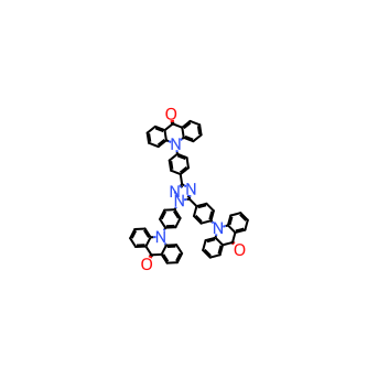 O=c1c2ccccc2n(-c2ccc(-c3nc(-c4ccc(-n5c6ccccc6c(=O)c6ccccc65)cc4)n(-c4ccc(-n5c6ccccc6c(=O)c6ccccc65)cc4)n3)cc2)c2ccccc12